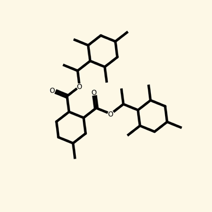 CC1CC(C)C(C(C)OC(=O)C2CCC(C)CC2C(=O)OC(C)C2C(C)CC(C)CC2C)C(C)C1